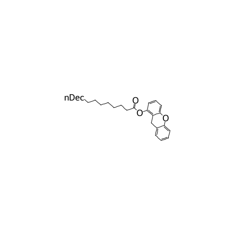 CCCCCCCCCCCCCCCCCC(=O)Oc1cccc2c1Cc1ccccc1O2